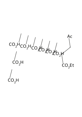 CC(=O)O.CC(=O)O.CC(=O)O.CC(=O)O.CC(=O)O.CC(=O)O.CC(=O)O.CC(=O)O.CCOC(=O)CCC(C)=O